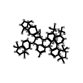 Cc1cc2c3c(c1)N(c1ccc4c(c1)C(C)(C)CCC4(C)C)c1c(oc4cc5c(cc14)C1(C)CCC5(C)C1)B3c1cc(C(C)(C)C)ccc1N2c1ccc2c(c1-c1ccc(C(C)(C)C)cc1)C(C)(C)CCC2(C)C